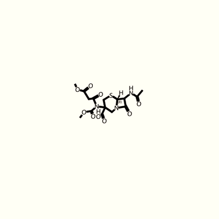 COC(=O)CC(=O)N(C(=O)OC)C1(C(=O)O)CS[C@@H]2C(NC(C)=O)C(=O)N2C1